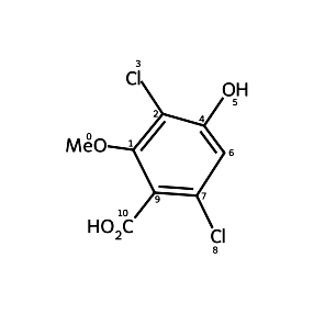 COc1c(Cl)c(O)cc(Cl)c1C(=O)O